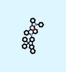 C1=C(c2ccccc2N(c2ccccc2)c2ccc3c(c2)C(c2ccccc2)(c2ccccc2)c2cc4ccccc4cc2-3)CC2C(=C1)N(c1ccccc1)c1ccccc12